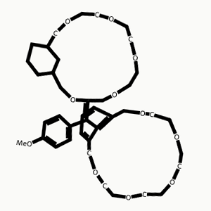 COc1ccc(C(=C2COCCOCCOCCOCC3CCCC(CO2)C3)c2c3cccc2COCCOCCOCCOCCOC3)cc1